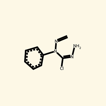 C=NN(/C(Cl)=N\N)c1ccccc1